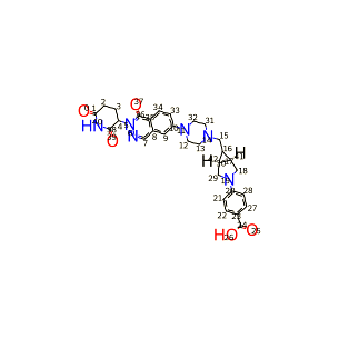 O=C1CCC(n2ncc3cc(N4CCN(CC5[C@H]6CN(c7ccc(C(=O)O)cc7)C[C@@H]56)CC4)ccc3c2=O)C(=O)N1